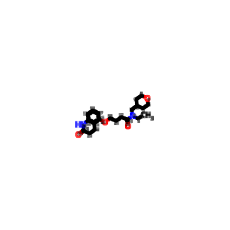 CCN(CC1CCOCC1)C(=O)CCCOc1cccc2c1CCC(=O)N2